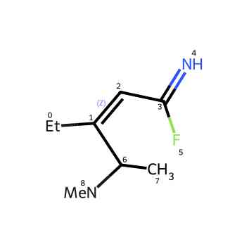 CC/C(=C/C(=N)F)C(C)NC